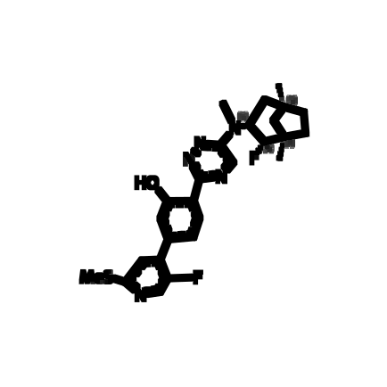 CSc1cc(-c2ccc(-c3ncc(N(C)[C@@H]4C[C@@]5(C)CC[C@](C)(C5)[C@@H]4F)nn3)c(O)c2)c(F)cn1